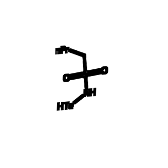 CCCCS(=O)(=O)N[TeH]